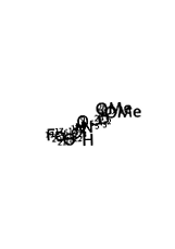 COc1ccc(CCNC(=O)N2CCC(Oc3ccc(F)cc3)CC2)cc1OC